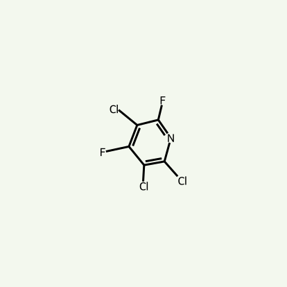 Fc1nc(Cl)c(Cl)c(F)c1Cl